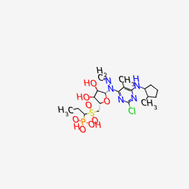 C=NN(c1nc(Cl)nc(NC2CCCC2C)c1C)[C@@H]1O[C@H](CS(=O)(=O)C(CC)P(=O)(O)O)[C@@H](O)[C@H]1O